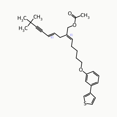 CC(=O)OC/C(=C/CCCCOc1cccc(-c2ccsc2)c1)C/C=C/C#CC(C)(C)C